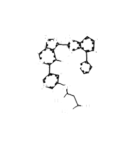 CC(C)CC(O)Nc1cncc(-c2ncc3[nH]nc(-c4nc5c(-c6cccs6)cccc5[nH]4)c3c2F)c1